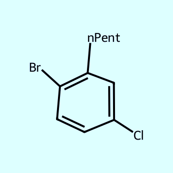 CCCCCc1cc(Cl)ccc1Br